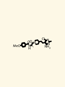 COc1ccc(C(=O)N[C@@H](C)C(=O)N2CCC(CCc3c(N)nc(C)nc3Cl)CC2)cc1